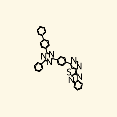 c1ccc(-c2ccc(-c3nc(-c4ccccc4)nc(-c4ccc(-c5ncnc6c5sc5nc7ccccc7nc56)cc4)n3)cc2)cc1